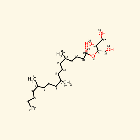 CC(C)CCCC(C)CCCC(C)CCCC(C)CCCC(=O)O[C@@H](CO)[C@H](O)CO